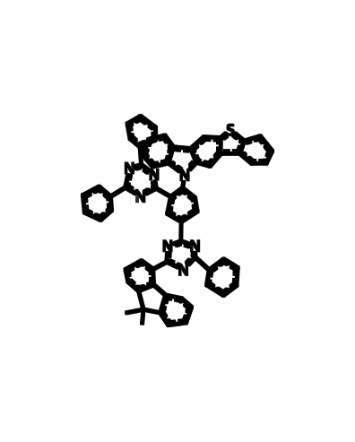 CC1(C)c2ccccc2-c2c(-c3nc(-c4ccccc4)nc(-c4ccc(-n5c6ccccc6c6cc7sc8ccccc8c7cc65)c(-c5nc(-c6ccccc6)nc(-c6ccccc6)n5)c4)n3)cccc21